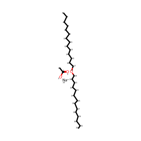 CC(=O)[O-].CCCCCCCCCCCCCCOCCCCCCCCCCCCCC.[Na+]